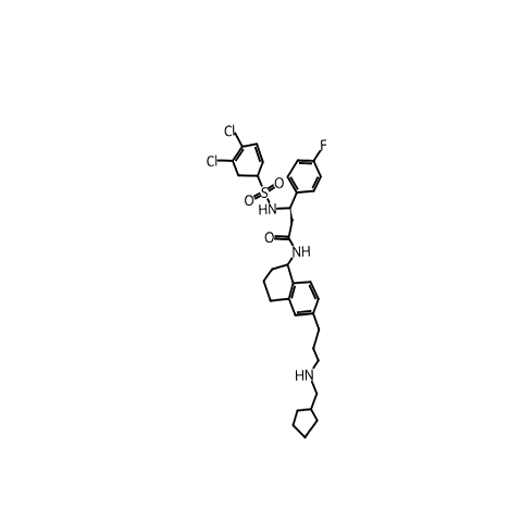 O=C(C[C@@H](NS(=O)(=O)C1C=CC(Cl)=C(Cl)C1)c1ccc(F)cc1)NC1CCCc2cc(CCCNCC3CCCC3)ccc21